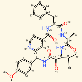 COc1ccc(CNC(=O)C(=O)[C@@H](NC(=O)[C@H](C)NC(=O)[C@H](Cc2ccccc2)NC(=O)c2ccncc2)C(C)C)cc1